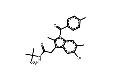 Cc1c(CC(=O)NC(C)(C)C(=O)O)c2cc(O)c(F)cc2n1C(=O)c1ccc(F)cc1